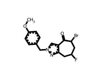 COc1ccc(Cn2cc3c(n2)CC(F)CC(Br)C3=O)cc1